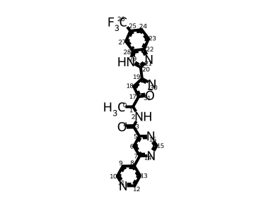 CC(NC(=O)c1cc(-c2ccncc2)ncn1)c1cc(-c2nc3ccc(C(F)(F)F)cc3[nH]2)no1